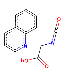 O=C=NCC(=O)O.c1ccc2ncccc2c1